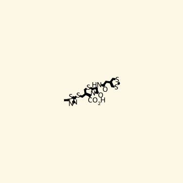 Cc1nnc(SCC2=C(C(=O)O)N3C(=O)C(NC(=O)CC4=CSCSC4)C3SC2)s1